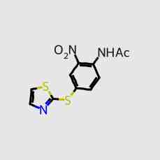 CC(=O)Nc1ccc(Sc2nccs2)cc1[N+](=O)[O-]